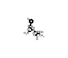 CC(O)C(NC(=O)N[C@@H](CC(N)=O)c1nc(-c2cccc(F)c2)no1)C(=O)O